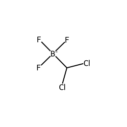 F[B-](F)(F)C(Cl)Cl